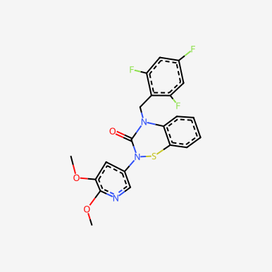 COc1cc(N2Sc3ccccc3N(Cc3c(F)cc(F)cc3F)C2=O)cnc1OC